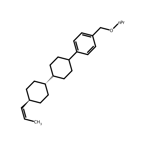 C/C=C\[C@H]1CC[C@H](C2CCC(c3ccc(COCCC)cc3)CC2)CC1